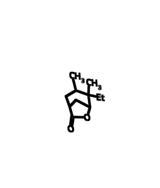 CCC1(C)C(C)CC2CC1OC2=O